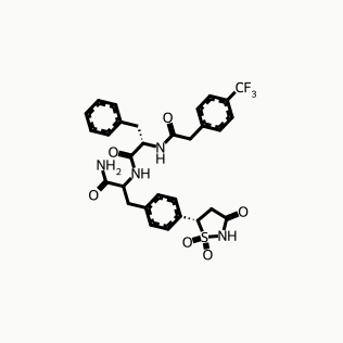 NC(=O)C(Cc1ccc([C@@H]2CC(=O)NS2(=O)=O)cc1)NC(=O)[C@H](Cc1ccccc1)NC(=O)Cc1ccc(C(F)(F)F)cc1